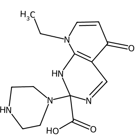 CCn1ccc(=O)c2c1NC(C(=O)O)(N1CCNCC1)N=C2